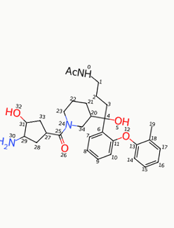 CC(=O)NCCCC(O)(c1ccccc1Oc1ccccc1C)C1CCCN(C(=O)C2CC(N)C(O)C2)C1